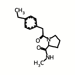 CCc1ccc(CC(=O)N2CCCC2C(=O)NC)cc1